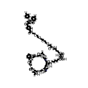 C/C=C(/C)[C@@H]1OC(=O)[C@H](C)NC(=O)[C@@H](C(C)CC)NC(=O)CN(C)C(=O)[C@H](Cc2ccccc2)N(C)C(=O)[C@@H](C)NC(=O)[C@H](CC(C)C)OC(=O)/C(C)=C\C[C@H](OC(=O)NCCCCCOP(=O)(O)OP(=O)(O)OCCCCCNC(=O)CCOCCOCCOCCOCCNC(=O)c2ccc(C(=O)C(CSc3ccc(C)cc3)CS(=O)(=O)c3ccc(C)cc3)cc2)[C@H]1C